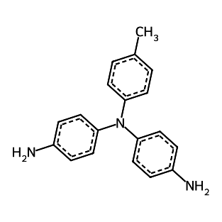 Cc1ccc(N(c2ccc(N)cc2)c2ccc(N)cc2)cc1